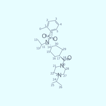 Cc1ccccc1S(=O)(=O)N(C(C)C)[C@H]1CC[C@H](C(=O)N2CCN(C(C)C)CC2)CC1